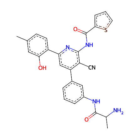 Cc1ccc(-c2cc(-c3cccc(NC(=O)C(C)N)c3)c(C#N)c(NC(=O)c3cccs3)n2)c(O)c1